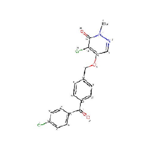 CC(C)(C)n1ncc(OCc2ccc(C(=O)c3ccc(Cl)cc3)cc2)c(Cl)c1=O